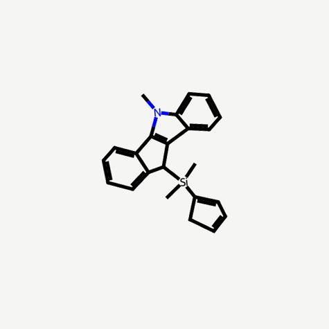 Cn1c2c(c3ccccc31)C([Si](C)(C)C1=CC=CC1)c1ccccc1-2